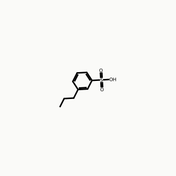 CCCc1cccc(S(=O)(=O)O)c1